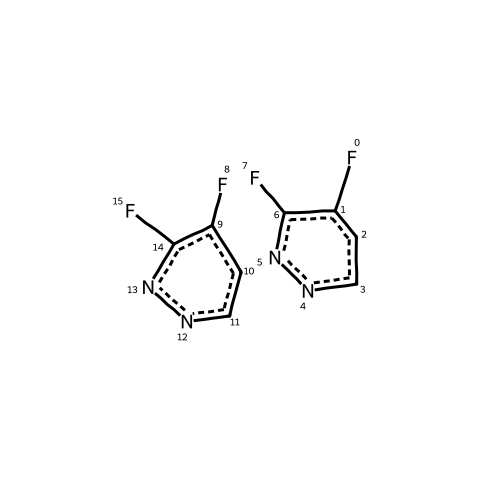 Fc1ccnnc1F.Fc1ccnnc1F